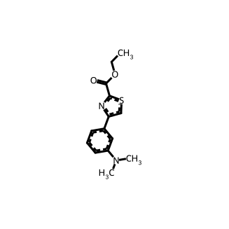 CCOC(=O)c1nc(-c2cccc(N(C)C)c2)cs1